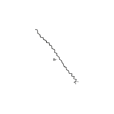 CCCCCCCCCCCCCCCCCCCCCCCCCCCCCCCC[P+](C)(C)C.[Br-]